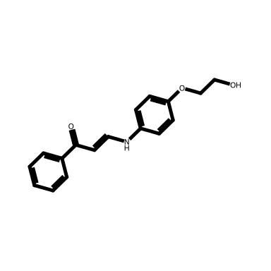 O=C(C=CNc1ccc(OCCO)cc1)c1ccccc1